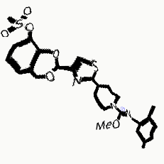 CO/C(=N\c1cc(C)ccc1C)N1CCC(c2nc(C3OCc4cccc(OS(C)(=O)=O)c4CO3)cs2)CC1